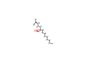 CCCCCCCCCC(O)CCCC(C)C